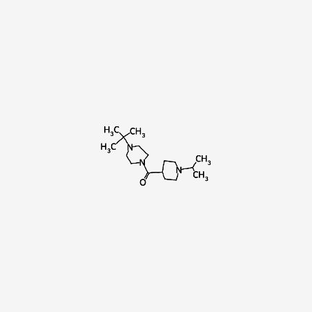 CC(C)N1CCC(C(=O)N2CCN(C(C)(C)C)CC2)CC1